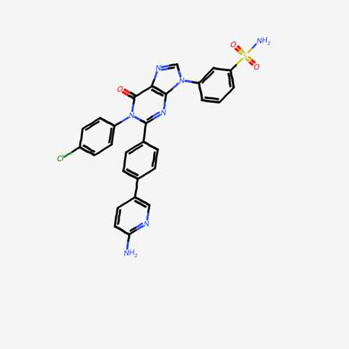 Nc1ccc(-c2ccc(-c3nc4c(ncn4-c4cccc(S(N)(=O)=O)c4)c(=O)n3-c3ccc(Cl)cc3)cc2)cn1